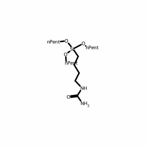 CCCCCO[Si](CCCCNC(N)=O)(OCCCCC)OCCCCC